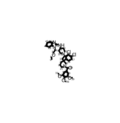 CCOCCn1c(NC2CCN(CCC3(c4ccc(Cl)c(Cl)c4)CCCN(C(=O)c4cc(OC)c(OC)c(OC)c4)C3)CC2)nc2ccccc21